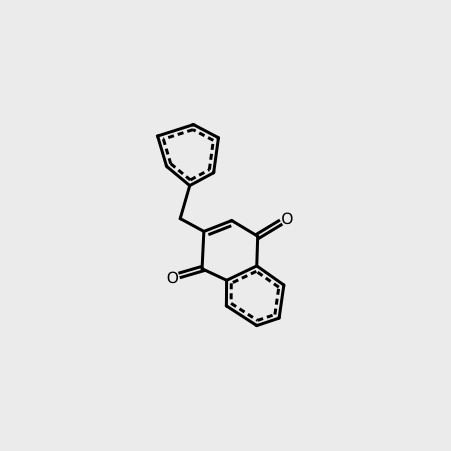 O=C1C=C(Cc2ccccc2)C(=O)c2ccccc21